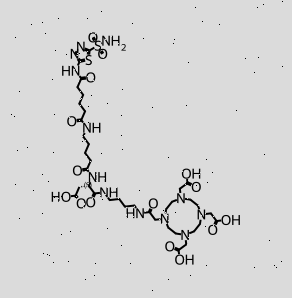 NS(=O)(=O)c1nnc(NC(=O)CCCCC(=O)NCCCCC(=O)N[C@@H](CC(=O)O)C(=O)NCCCCNC(=O)CN2CCN(CC(=O)O)CCN(CC(=O)O)CCN(CC(=O)O)CC2)s1